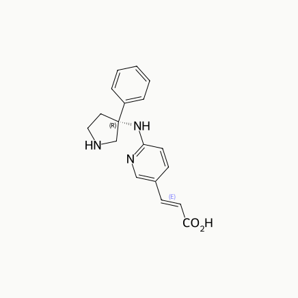 O=C(O)/C=C/c1ccc(N[C@@]2(c3ccccc3)CCNC2)nc1